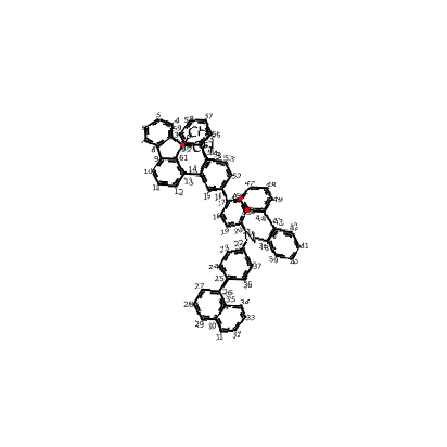 CC1(C)c2ccccc2-c2cccc(-c3cc(-c4ccc(N(c5ccc(-c6cccc7ccccc67)cc5)c5ccccc5-c5ccccc5)cc4)ccc3-c3ccccc3)c21